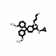 COc1cccc(C2(c3cccc(OC)c3)C=Cc3c(NC4CC4)nn(C=CC=O)c3C2)c1